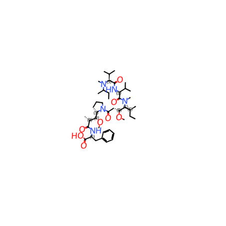 CCC(C)N(C)[C@H](C(=O)N[C@H](C(=O)N(C)[C@@H]([C@@H](C)CC)[C@@H](CC(=O)N1CCC[C@H]1[C@H](OC)[C@@H](C)C(=O)N[C@@H](Cc1ccccc1)C(=O)O)OC)C(C)C)C(C)C